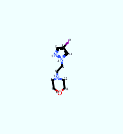 Ic1cnn(CCN2CCOCC2)c1